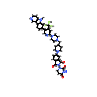 Cn1c2ccncc2c2ccc(-c3cnc(N4CCN(CC5CCN(c6ccc7c(c6)C(=O)N(N6CCC(=O)NC6=O)C7=O)CC5)CC4)cc3C(F)(F)F)cc21